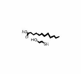 CCCCCCCCCCCC(=O)O.OCCS